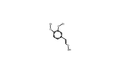 CCCOC=Cc1ccc(OCC)c(OCC)c1